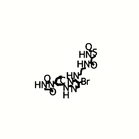 O=C1NC(C(=O)NCCCNc2nc(Nc3cccc(N4C(=O)CNC4=O)c3)ncc2Br)CS1